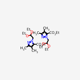 CCOC(=O)c1c(C)c(C)nn1CC(OCC)OCC.CCOC(Cn1nc(C)c(C)c1C(=O)O)OCC